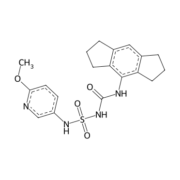 COc1ccc(NS(=O)(=O)NC(=O)Nc2c3c(cc4c2CCC4)CCC3)cn1